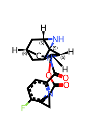 O=C(O[C@@H]1C2C[C@@H]3C[C@@H]4N[C@@]24[C@@H]1N(C(=O)c1ccc(F)cn1)C3)C1CC1